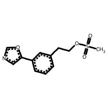 CS(=O)(=O)OCCc1cccc(-c2cnco2)c1